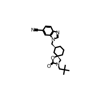 CC(C)(C)CN1C[C@@]2(CCC[C@H](Cn3cnc4ccc(C#N)cc43)C2)OC1=O